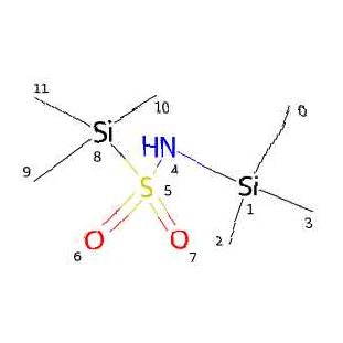 C[Si](C)(C)NS(=O)(=O)[Si](C)(C)C